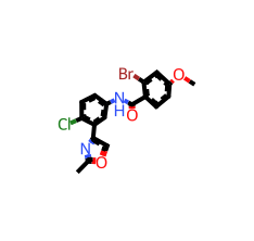 COc1ccc(C(=O)Nc2ccc(Cl)c(-c3coc(C)n3)c2)c(Br)c1